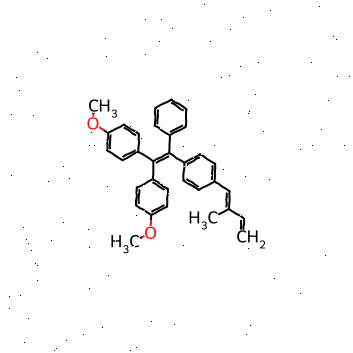 C=C/C(C)=C/c1ccc(C(=C(c2ccc(OC)cc2)c2ccc(OC)cc2)c2ccccc2)cc1